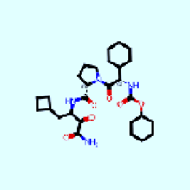 NC(=O)C(=O)C(CC1CCC1)NC(=O)[C@@H]1CCCN1C(=O)[C@@H](NC(=O)OC1CCCCC1)C1CCCCC1